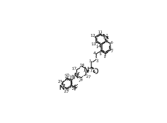 O=C(CCCc1cccc2ncccc12)N1CCN(c2ccncc2F)CC1